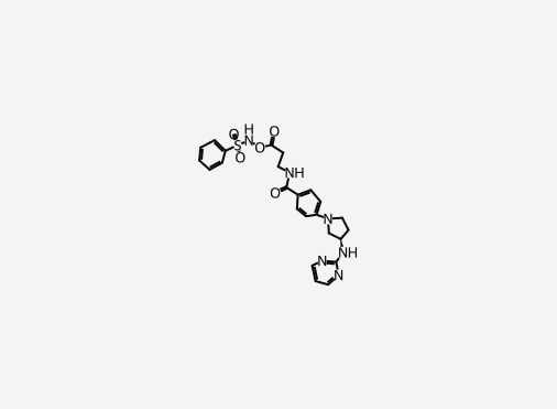 O=C(CCNC(=O)c1ccc(N2CC[C@@H](Nc3ncccn3)C2)cc1)ONS(=O)(=O)c1ccccc1